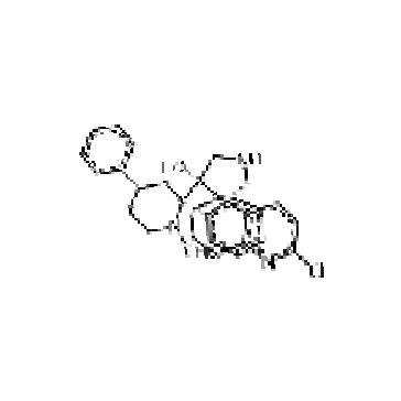 O=CN1CC[C@H](c2ccccc2)C[C@@]1(c1ccccc1)[C@@]1(O)CNC[C@]12CCCc1nc(Cl)ccc12